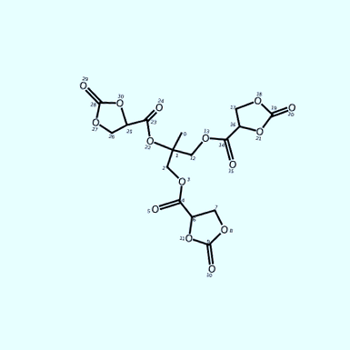 CC(COC(=O)C1COC(=O)O1)(COC(=O)C1COC(=O)O1)OC(=O)C1COC(=O)O1